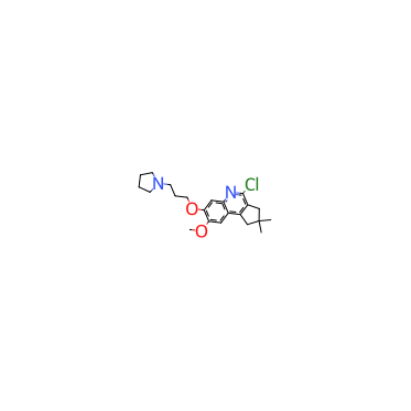 COc1cc2c3c(c(Cl)nc2cc1OCCCN1CCCC1)CC(C)(C)C3